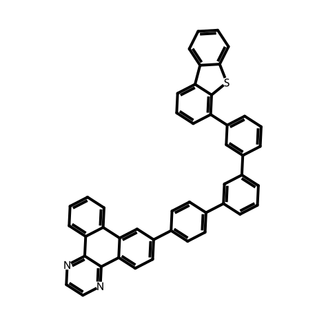 c1cc(-c2ccc(-c3ccc4c(c3)c3ccccc3c3nccnc43)cc2)cc(-c2cccc(-c3cccc4c3sc3ccccc34)c2)c1